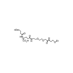 CCCCCCCCCCCCC(=O)N[C@@H](CCC(=O)NCCOCCOCC(=O)NCCOCC)C(=O)O